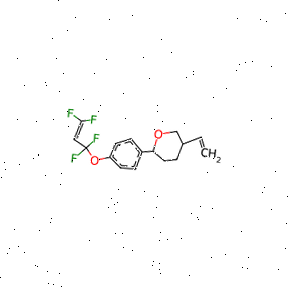 C=CC1CCC(c2ccc(OC(F)(F)C=C(F)F)cc2)OC1